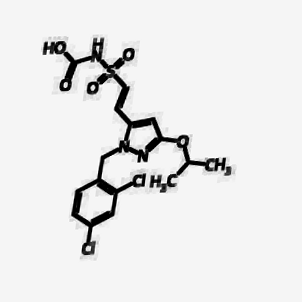 CC(C)Oc1cc(C=CS(=O)(=O)NC(=O)O)n(Cc2ccc(Cl)cc2Cl)n1